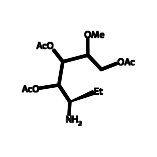 CC[C@@H](N)C(OC(C)=O)C(OC(C)=O)C(COC(C)=O)OC